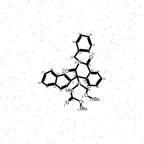 CC(C)(C)OC(=O)NN(C(=O)OC(C)(C)C)C1(c2ccc3ccccc3c2)C(=O)N(Cc2ccccc2)C(=O)c2ccccc21